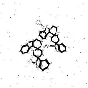 C.CN(C)C1(c2ccccc2)CCC2(CC1)SCCc1sc3ccccc3c12.CN(C)C1(c2ccccc2)CCC2(CC1)SCCc1sc3ccccc3c12.O=S(=O)(O)O